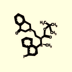 C[C@H](c1ccc(F)c2ccccc12)N(CC[C@H]1CC(=O)c2ccccc2C1)C(=O)OC(C)(C)C